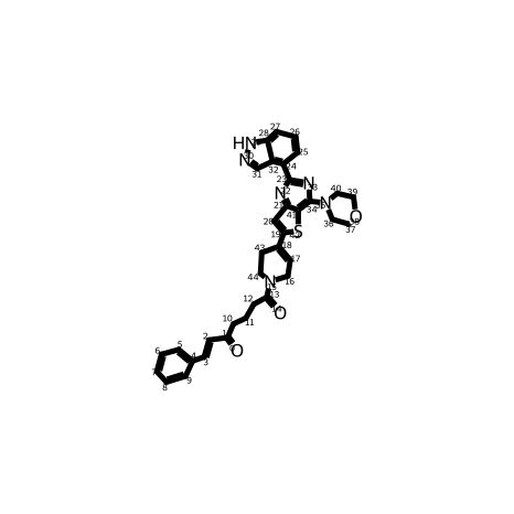 O=C(C=Cc1ccccc1)CCCC(=O)N1CC=C(c2cc3nc(-c4cccc5[nH]ncc45)nc(N4CCOCC4)c3s2)CC1